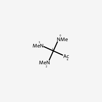 CNC(NC)(NC)C(C)=O